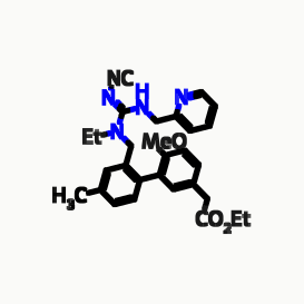 [C-]#[N+]/N=C(\NCc1ccccn1)N(CC)Cc1cc(C)ccc1-c1cc(CC(=O)OCC)ccc1OC